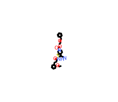 CCOc1ccccc1CCC(=O)Nc1sc2c(c1C#N)CCN(C(=O)OCCOCc1ccccc1)C2